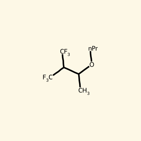 CCCOC(C)C(C(F)(F)F)C(F)(F)F